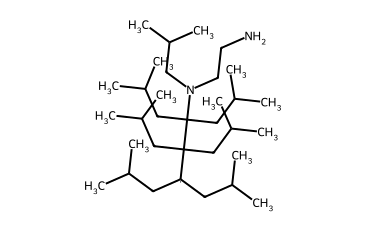 CC(C)C[C](CC(C)C)C(CC(C)C)(CC(C)C)C(CC(C)C)(CC(C)C)N(CCN)CC(C)C